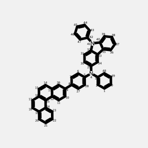 c1ccc(N(c2ccc(-c3ccc4c(ccc5ccc6ccccc6c54)c3)cc2)c2ccc3c(c2)c2ccccc2n3-c2ccccc2)cc1